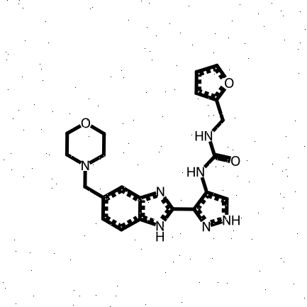 O=C(NCc1ccco1)Nc1c[nH]nc1-c1nc2cc(CN3CCOCC3)ccc2[nH]1